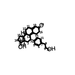 C[C@]12C[C@H](c3ccc(CCO)cc3)C3=C4CCC(=O)C=C4CC[C@H]3[C@@H]1CC[C@@H]2O